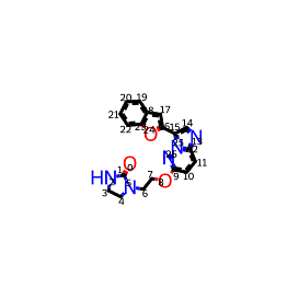 O=C1NCCN1CCOc1ccc2ncc(-c3cc4ccccc4o3)n2n1